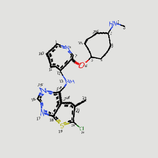 CNC1CCC(Oc2ncccc2Nc2ncnc3sc(Cl)c(C)c23)CC1